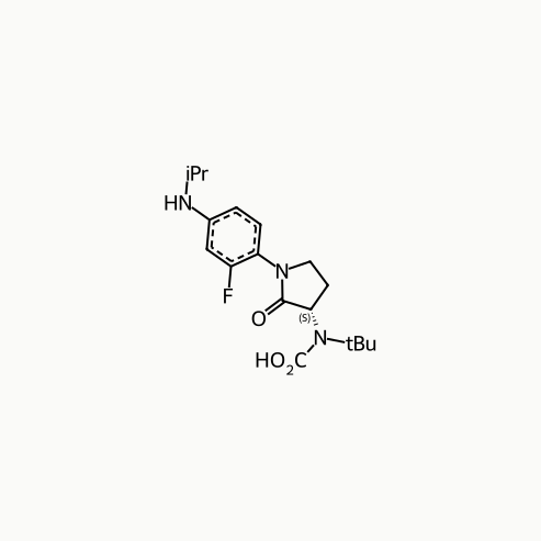 CC(C)Nc1ccc(N2CC[C@H](N(C(=O)O)C(C)(C)C)C2=O)c(F)c1